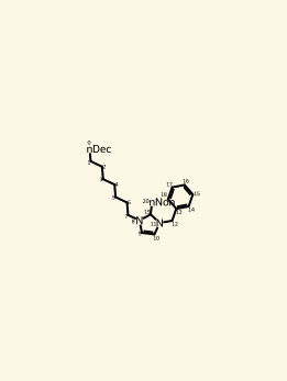 CCCCCCCCCCCCCCCCCN1C=CN(Cc2ccccc2)C1CCCCCCCCC